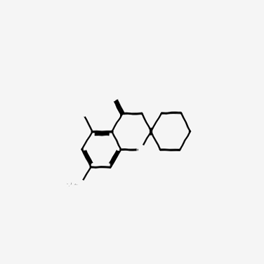 COc1cc(Cl)c2c(c1)OC1(CCCCC1)CC2=O